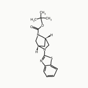 CC(C)(C)OC(=O)N1C[C@@H]2C[C@H]1CN2c1nc2ccccc2s1